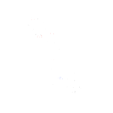 CC1(CS(=O)(=O)c2ccc(OC/C(=C/F)CNC(=O)OC(C)(C)C)cc2)CCOCC1